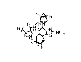 Cc1nn(C)cc1C(=O)NC[C@@H]1[C@H]2C[C@H]2CN1C(=O)c1nc(N)sc1-c1cccc(F)c1